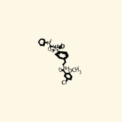 COc1ccc(Cl)cc1C(=O)NCCc1ccc(S(=O)(=O)NC(=O)N(I)C2CCCCC2)cc1